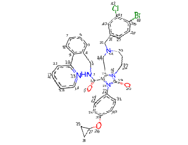 O=C(NCc1ccccc1-c1ccccn1)c1c2n(c(=O)n1-c1ccc(OC3CC3)cc1)CCN(Cc1ccc(Br)c(Cl)c1)C2